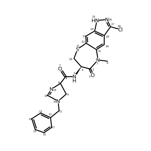 CN1C(=O)[C@@H](NC(=O)C2CN(Cc3ccccc3)C=N2)CSc2cc3[nH]nc(Cl)c3cc21